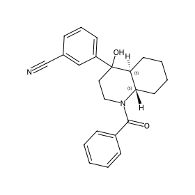 N#Cc1cccc(C2(O)CCN(C(=O)c3ccccc3)[C@H]3CCCC[C@@H]32)c1